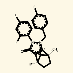 CC1(C)[C@H]2CC[C@]1(C)c1c2c(=O)n(-c2ccc(F)cc2F)n1Cc1ccc(F)cc1